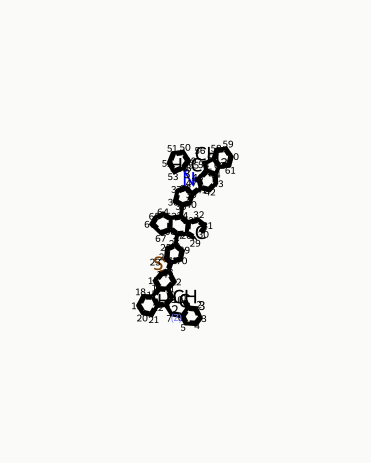 C=c1cccc/c1=C/c1c(C)c2cc3c(cc2c2ccccc12)sc1cc(-c2c4ccccc4c(-c4ccc5c(c4)c4ccc6c(c4n5-c4ccccc4)C(C)(C)c4ccccc4-6)c4ccccc24)ccc13